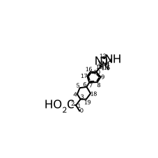 CC(C(=O)O)C1CCC(c2ccc(-c3nc[nH]n3)cc2)CC1